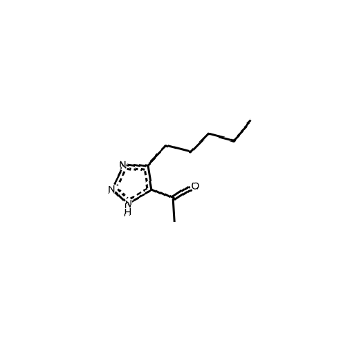 CCCCCc1nn[nH]c1C(C)=O